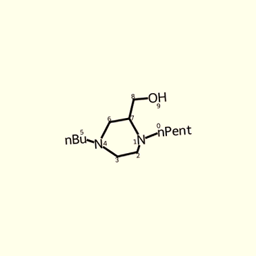 CCCCCN1CCN(CCCC)CC1CO